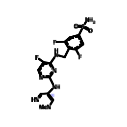 CN/C=C(\C=N)Nc1ncc(F)c(NCc2c(F)cc(S(N)(=O)=O)cc2F)n1